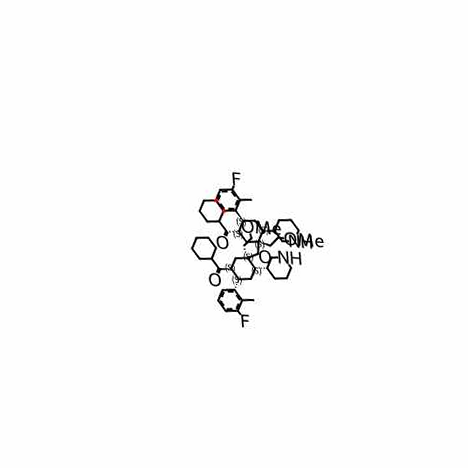 COCC[C@@]1(C(=O)[C@]2(CCOC)C[C@H](C(=O)C3CCCCC3)[C@@H](c3cccc(F)c3C)C[C@H]2C2CCCNC2)C[C@H](C(=O)C2CCCCC2)[C@@H](c2cccc(F)c2C)C[C@H]1C1CCCNC1